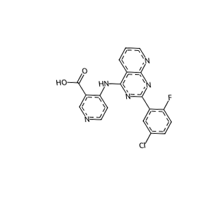 O=C(O)c1cnccc1Nc1nc(-c2cc(Cl)ccc2F)nc2ncccc12